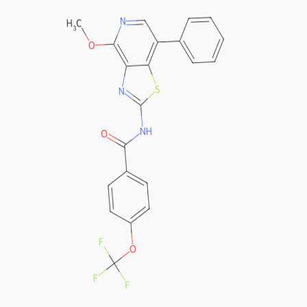 COc1ncc(-c2ccccc2)c2sc(NC(=O)c3ccc(OC(F)(F)F)cc3)nc12